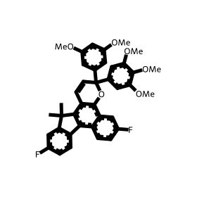 COc1cc(OC)cc(C2(c3cc(OC)c(OC)c(OC)c3)C=Cc3c4c(c5ccc(F)cc5c3O2)-c2ccc(F)cc2C4(C)C)c1